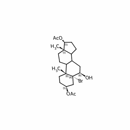 CC(=O)O[C@H]1CC[C@]2(C)C3CC[C@@]4(C)C(CC[C@@H]4OC(C)=O)C3C[C@@H](O)[C@@]2(Br)C1